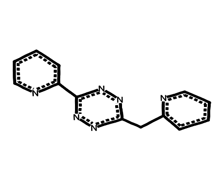 c1ccc(Cc2nnc(-c3ccccn3)nn2)nc1